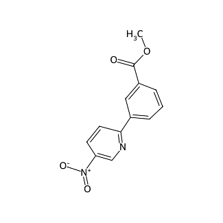 COC(=O)c1cccc(-c2ccc([N+](=O)[O-])cn2)c1